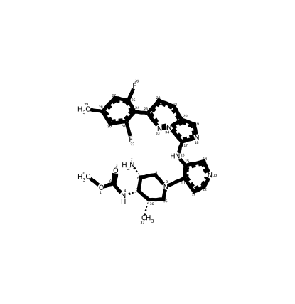 COC(=O)N[C@@H]1[C@H](N)CN(c2ccncc2Nc2ncc3ccc(-c4c(F)cc(C)cc4F)nn23)C[C@@H]1C